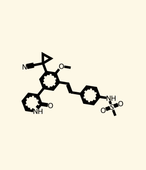 COc1c(C=Cc2ccc(NS(C)(=O)=O)cc2)cc(-c2ccc[nH]c2=O)cc1C1(C#N)CC1